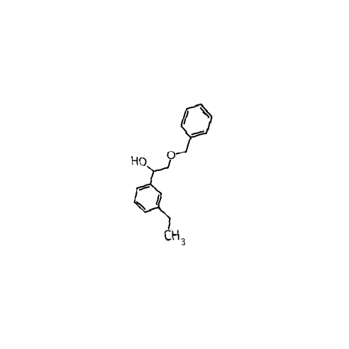 CCc1cccc(C(O)COCc2ccccc2)c1